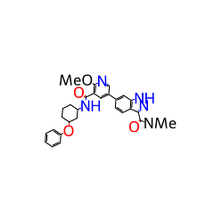 CNC(=O)c1n[nH]c2cc(-c3cnc(OC)c(C(=O)NC4CCCC(Oc5ccccc5)C4)c3)ccc12